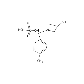 Cc1ccc(CN2CC(S)C2)cc1.O=S(=O)(O)O